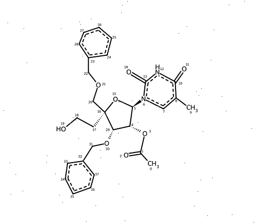 CC(=O)O[C@H]1[C@H](n2cc(C)c(=O)[nH]c2=O)O[C@](CCO)(COCc2ccccc2)[C@H]1OCc1ccccc1